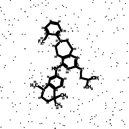 CC(O)CSc1nc2c(c(Nc3ccc4c(c3)N(C)CCC4(C)C)n1)CCN(c1ncccc1C(F)(F)F)CC2